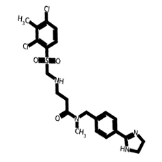 Cc1c(Cl)ccc(S(=O)(=O)CNCCC(=O)N(C)Cc2ccc(C3=NCCN3)cc2)c1Cl